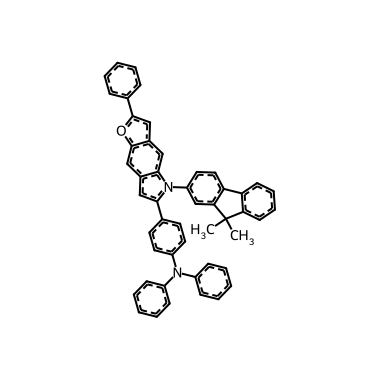 CC1(C)c2ccccc2-c2ccc(-n3c(-c4ccc(N(c5ccccc5)c5ccccc5)cc4)cc4cc5oc(-c6ccccc6)cc5cc43)cc21